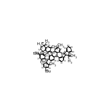 Cc1cc2c3c(c1)-n1c4c(c5cccc(c51)B3c1ccc(N(c3ccc(C(C)(C)C)cc3C)c3ccc(C(C)(C)C)cc3C)cc1N2c1cc2c(cc1C)C(C)(C)CCC2(C)C)C(C)(C)c1ccccc1-4